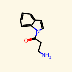 NCCC(=O)n1ccc2ccccc21